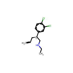 C=CC[C@H](CNCC)c1ccc(Cl)c(Cl)c1